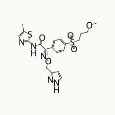 COCCCS(=O)(=O)c1ccc(/C(=N\OCc2cc[nH]n2)C(=O)Nc2ncc(C)s2)cc1